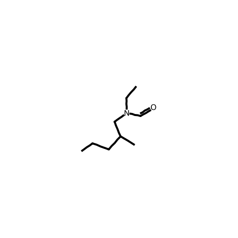 CCCC(C)CN(C=O)CC